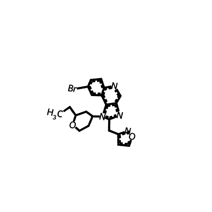 CCC1CC(n2c(Cc3ccon3)nc3cnc4ccc(Br)cc4c32)CCO1